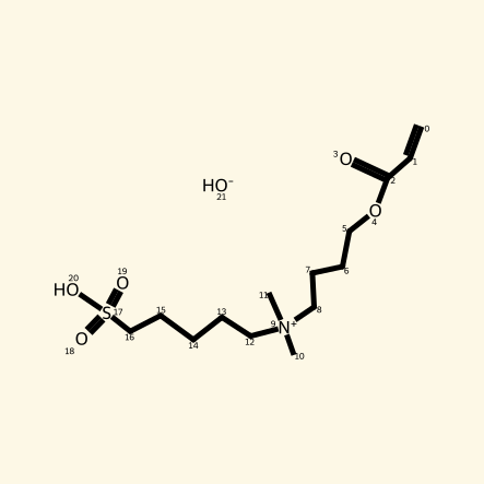 C=CC(=O)OCCCC[N+](C)(C)CCCCCS(=O)(=O)O.[OH-]